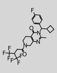 Cc1nc2c(c(=O)n1C(c1ccc(F)cc1)C1CCC1)CCN(C(=O)CC(C(F)(F)F)C(F)(F)F)C2